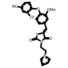 COc1cc(/C=C2\SC(=O)N(CCn3cccc3)C2=O)ccc1Oc1ccc(C#N)cc1C(F)(F)F